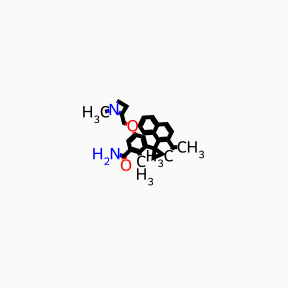 Cc1c(C(N)=O)cc(OCC2CCN2C)cc1C1(c2c(C(C)C)ccc3ccccc23)CC1